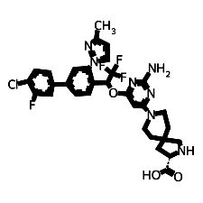 Cc1ccn(-c2cc(-c3ccc(Cl)c(F)c3)ccc2C(Oc2cc(N3CCC4(CC3)CN[C@H](C(=O)O)C4)nc(N)n2)C(F)(F)F)n1